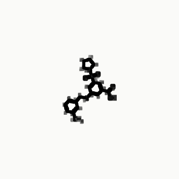 Cc1cccc(CSc2cc(C(=O)O)cc(S(=O)(=O)N3CCCC3)c2)c1